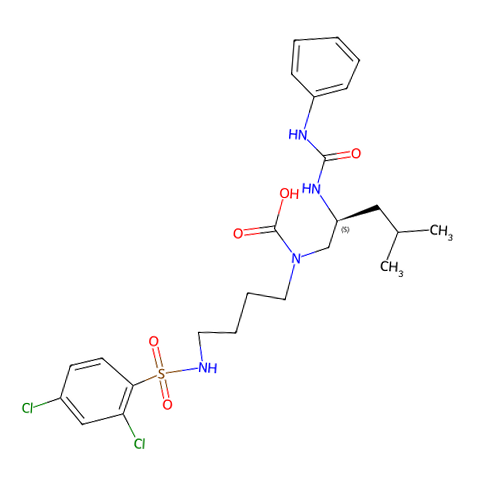 CC(C)C[C@@H](CN(CCCCNS(=O)(=O)c1ccc(Cl)cc1Cl)C(=O)O)NC(=O)Nc1ccccc1